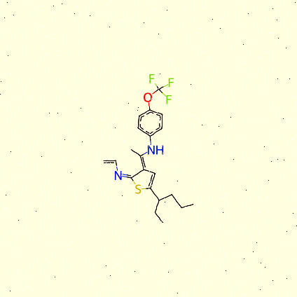 C=C/N=C1/SC(C(CC)CCC)=C/C1=C(/C)Nc1ccc(OC(F)(F)F)cc1